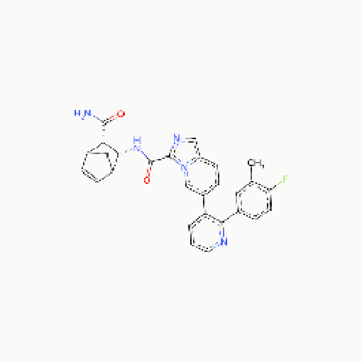 Cc1cc(-c2ncccc2-c2ccc3cnc(C(=O)N[C@@H]4C5C=CC(C5)[C@@H]4C(N)=O)n3c2)ccc1F